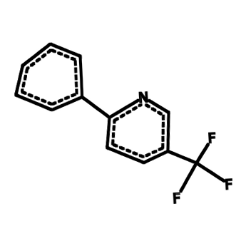 FC(F)(F)c1ccc(-c2ccccc2)nc1